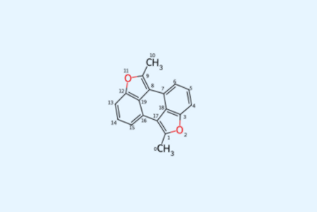 Cc1oc2cccc3c4c(C)oc5cccc(c1c23)c54